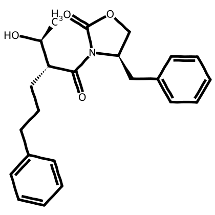 C[C@H](O)[C@@H](CCCc1ccccc1)C(=O)N1C(=O)OC[C@H]1Cc1ccccc1